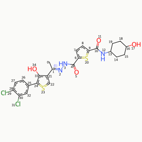 C/C(=N\NC(=O)c1ccc(C(=O)NC2CCC(O)CC2)s1)c1csc(-c2ccc(Cl)c(Cl)c2)c1O